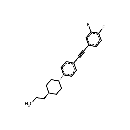 CCC[C@H]1CC[C@H](c2ccc(C#Cc3ccc(F)c(F)c3)cc2)CC1